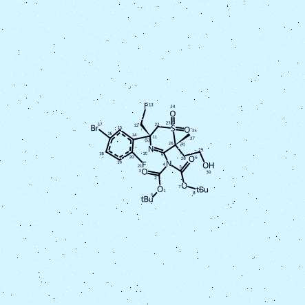 CC(C)(C)OC(=O)N(C(=O)OC(C)(C)C)C1=N[C@](CF)(c2cc(Br)ccc2F)CS(=O)(=O)[C@]1(C)CCO